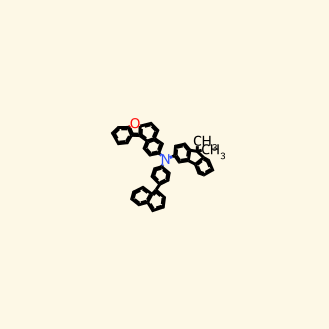 CC1(C)c2ccccc2-c2cc(N(c3ccc(-c4cccc5ccccc45)cc3)c3ccc4c(ccc5oc6ccccc6c54)c3)ccc21